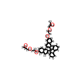 c1ccc2c(c1)-c1ccccc1C2(c1ccc2cc(OCCOCC3CO3)ccc2c1)c1ccc2cc(OCCOCC3CO3)ccc2c1